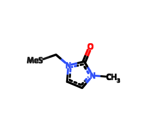 CSCn1ccn(C)c1=O